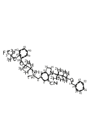 [2H]C([2H])(N[C@H](C)Cc1cc(C#N)c2c(c1)CCN2C([2H])([2H])C([2H])([2H])C([2H])([2H])OCc1ccccc1)C([2H])([2H])Oc1ccccc1OC([2H])([2H])C(F)(F)F